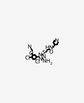 N#CCOc1cc(-c2nc(N)nc(SCCC(=O)NCc3ccncc3)n2)c(Cl)cc1Cl